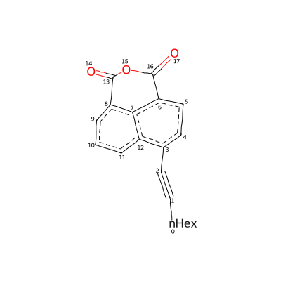 CCCCCCC#Cc1ccc2c3c(cccc13)C(=O)OC2=O